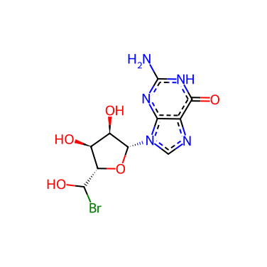 Nc1nc2c(ncn2[C@@H]2O[C@H](C(O)Br)[C@@H](O)[C@H]2O)c(=O)[nH]1